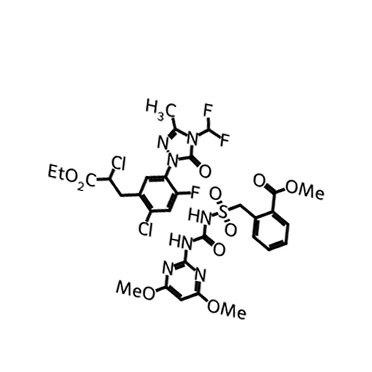 CCOC(=O)C(Cl)Cc1cc(-n2nc(C)n(C(F)F)c2=O)c(F)cc1Cl.COC(=O)c1ccccc1CS(=O)(=O)NC(=O)Nc1nc(OC)cc(OC)n1